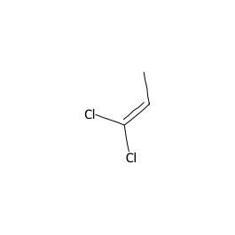 CC=C(Cl)Cl